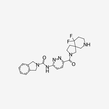 O=C(Nc1ccc(C(=O)N2CCC3(CNCCC3(F)F)C2)nn1)N1Cc2ccccc2C1